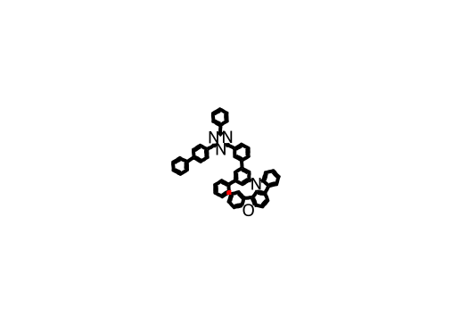 c1ccc(-c2ccc(-c3nc(-c4ccccc4)nc(-c4cccc(-c5cc(-c6ccccc6)cc(-n6c7ccccc7c7ccc8oc9ccccc9c8c76)c5)c4)n3)cc2)cc1